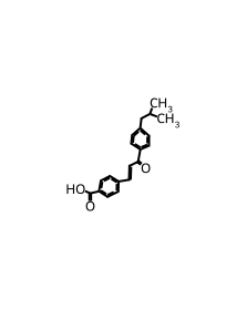 CC(C)Cc1ccc(C(=O)C=Cc2ccc(C(=O)O)cc2)cc1